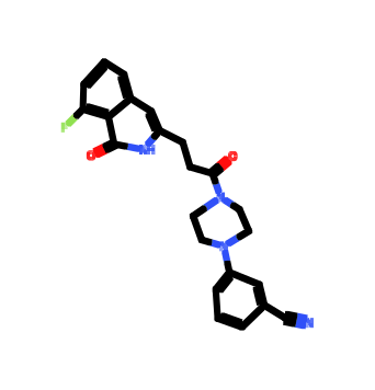 N#Cc1cccc(N2CCN(C(=O)CCc3cc4cccc(F)c4c(=O)[nH]3)CC2)c1